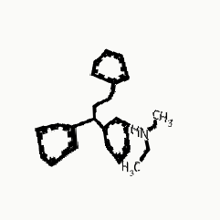 CCNCC.c1ccc(CCC(c2ccccc2)c2ccccc2)cc1